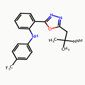 CNC(C)(C)Cc1nnc(-c2ccccc2Nc2ccc(C(F)(F)F)cc2)o1